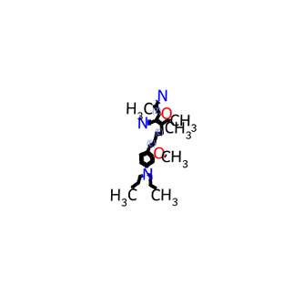 CCCCN(CCCC)c1ccc(/C=C/C=C/C2=C(C#N)C(=C(\C)C#N)/OC2(C)C)c(OC)c1